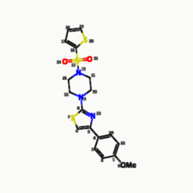 COc1ccc(-c2csc(N3CCN(S(=O)(=O)c4cccs4)CC3)n2)cc1